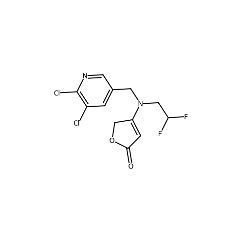 O=C1C=C(N(Cc2cnc(Cl)c(Cl)c2)CC(F)F)CO1